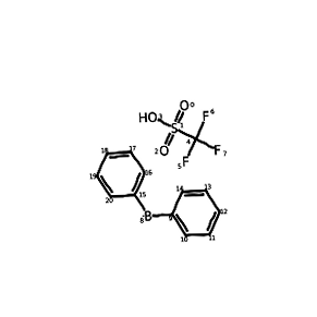 O=S(=O)(O)C(F)(F)F.[B](c1ccccc1)c1ccccc1